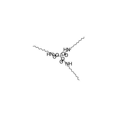 CCCCCCCCCCCCNCCC(=O)OCC(CC)(COC(=O)CCNCCCCCCCCCCCC)COC(=O)CNCCCCCCCCCCCC